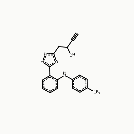 C#CC(O)Cc1nnc(-c2ccccc2Nc2ccc(C(F)(F)F)cc2)o1